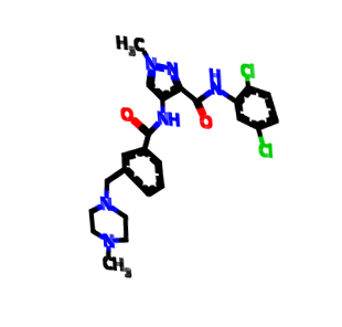 CN1CCN(Cc2cccc(C(=O)Nc3cn(C)nc3C(=O)Nc3cc(Cl)ccc3Cl)c2)CC1